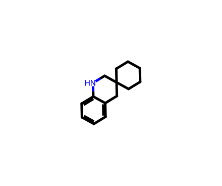 c1ccc2c(c1)CC1(CCCCC1)CN2